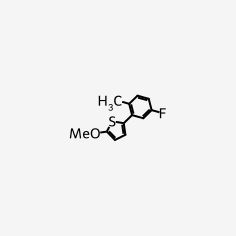 COc1ccc(-c2cc(F)ccc2C)s1